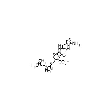 CN(C)CCn1nnnc1SCC1=C(C(=O)O)N2C(=O)[C@@H](NC(=O)CC3=CSC(N)N3)[C@@H]2SC1